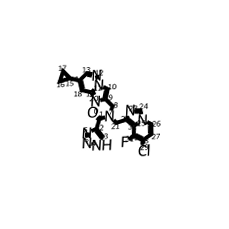 O=C(c1c[nH]nn1)N(Cc1cn2ncc(C3CC3)cc2n1)Cc1ncn2ccc(Cl)c(F)c12